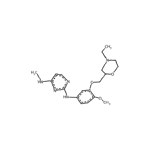 CCN1CCOC(COc2cc(Nc3nccc(NC)n3)ccc2OC)C1